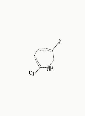 ClC1=CC=C(I)CN1